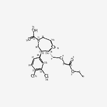 CCOC(=O)COC[C@H]1OCCN(C(=O)O)C[C@@H]1c1ccc(Cl)c(Cl)c1